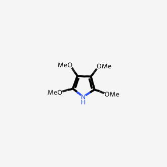 COc1[nH]c(OC)c(OC)c1OC